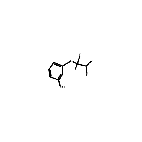 CC(C)(C)c1cccc(OC(F)(F)C(F)F)c1